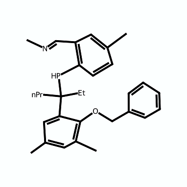 CCCC(CC)(Pc1ccc(C)cc1/C=N/C)c1cc(C)cc(C)c1OCc1ccccc1